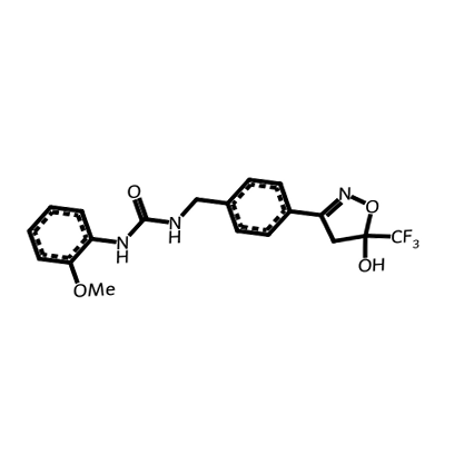 COc1ccccc1NC(=O)NCc1ccc(C2=NOC(O)(C(F)(F)F)C2)cc1